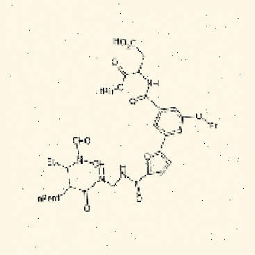 CCCCCC(C(=O)NCNC(=O)c1ccc(-c2cc(OCC)cc(C(=O)NC(CC(=O)O)C(=O)OC(C)(C)C)c2)o1)C(CC)N(O)C=O